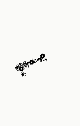 CC(=O)OC[C@@H]1C[C@H](OC(C)=O)[C@@H](OC(C)=O)[C@H](ONC(=O)/C=C/c2ccc(CNCCc3c(C)[nH]c4ccccc34)cc2)O1